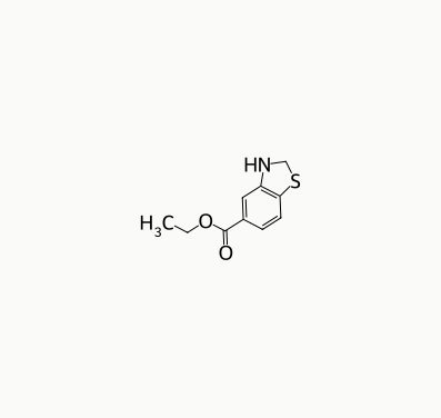 CCOC(=O)c1ccc2c(c1)NCS2